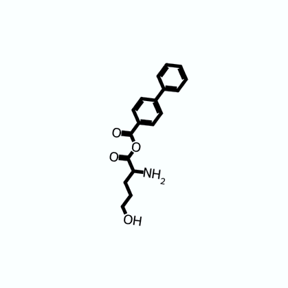 NC(CCCO)C(=O)OC(=O)c1ccc(-c2ccccc2)cc1